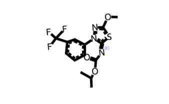 COc1nn(-c2cccc(C(F)(F)F)c2)/c(=N\C(=O)OC(C)C)s1